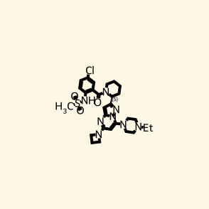 CCN1CCN(c2cc(N3CCC3)nc3cc([C@@H]4CCCCN4C(=O)c4cc(Cl)ccc4NS(C)(=O)=O)nn23)CC1